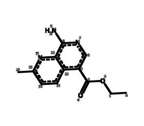 CCOC(=O)c1cnc(N)c2nc(C)ccc12